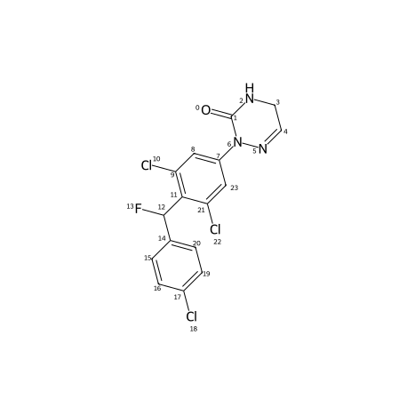 O=C1NCC=NN1c1cc(Cl)c(C(F)c2ccc(Cl)cc2)c(Cl)c1